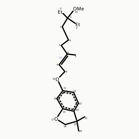 CCC(CC)(CCC/C(C)=C/COc1ccc2c(c1)OCC2(C)C)OC